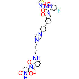 O=C1CCC(N2C(=O)c3cccc(NCCCCCCN4CCN(c5ccc(-c6ccc7c(c6)C(=O)N(C(C(=O)Nc6nccs6)c6cc(F)ccc6O)C7)cc5)CC4)c3C2=O)C(=O)N1